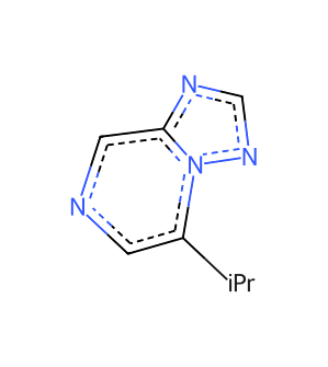 CC(C)c1cncc2ncnn12